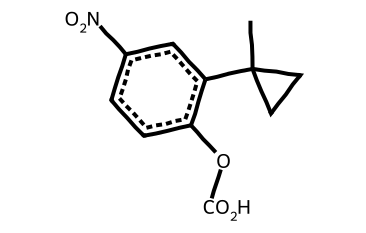 CC1(c2cc([N+](=O)[O-])ccc2OC(=O)O)CC1